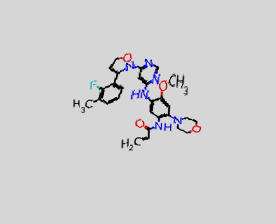 C=CC(=O)Nc1cc(Nc2cc(N3OCCC3c3cccc(C)c3F)ncn2)c(OC)cc1N1CCOCC1